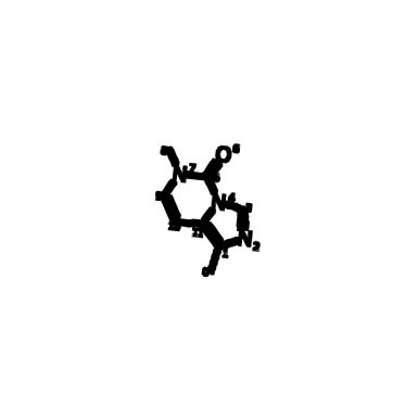 Cc1ncn2c(=O)n(C)ccc12